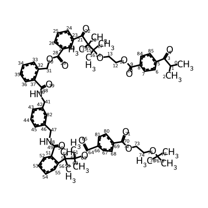 CC(C)C(=O)c1ccc(C(=O)OCCOC(C)(C)C(C)(C)C(=O)c2cccc(C(=O)OCc3ccccc3C(=O)NCc3cccc(CNC(=O)c4ccccc4C(C)(C)C(C)(C)OC(=O)c4ccc(C(=O)OCCOC(C)(C)C)cc4)c3)c2)cc1